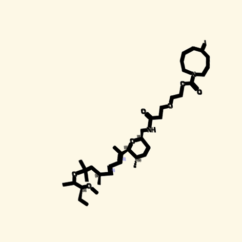 CC[C@H](OC)C(C)OC(C)(C)C[C@H](C)/C=C/C=C(\C)[C@H]1O[C@@H](CNC(=O)CCOCCOC(=O)N2CCCCC(I)CCC2)CC[C@@H]1C